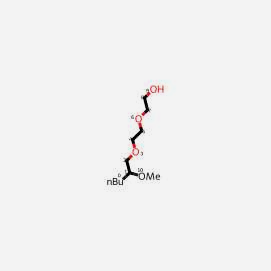 CCCCC(COCCOCCO)OC